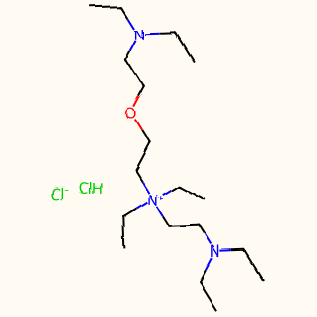 CCN(CC)CCOCC[N+](CC)(CC)CCN(CC)CC.Cl.[Cl-]